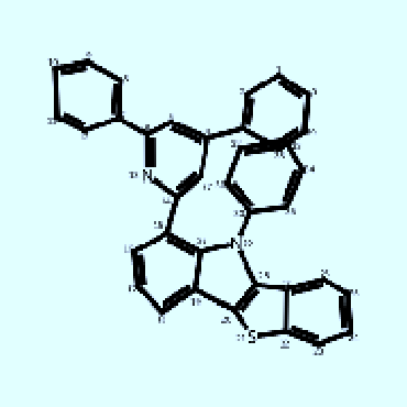 c1ccc(-c2cc(-c3ccccc3)nc(-c3cccc4c5sc6ccccc6c5n(-c5ccccc5)c34)c2)cc1